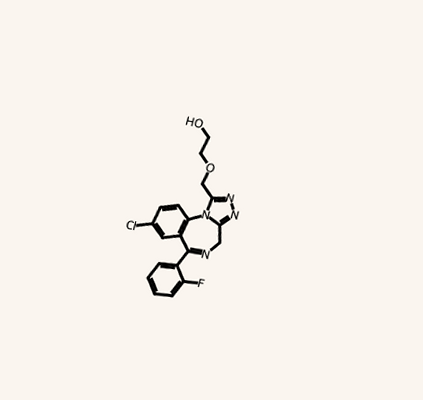 OCCOCc1nnc2n1-c1ccc(Cl)cc1C(c1ccccc1F)=NC2